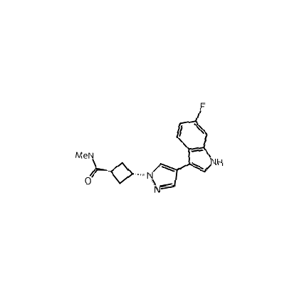 CNC(=O)[C@H]1C[C@H](n2cc(-c3c[nH]c4cc(F)ccc34)cn2)C1